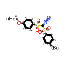 CCCCCCOc1ccc(S(=O)(=O)C(=[N+]=[N-])S(=O)(=O)c2ccc(C(C)(C)C)cc2)cc1